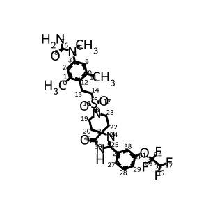 Cc1cc(N(C)C(N)=O)cc(C)c1CCS(=O)(=O)N1CCC2(CC1)N=C(c1cccc(OC(F)(F)C(F)F)c1)NC2=O